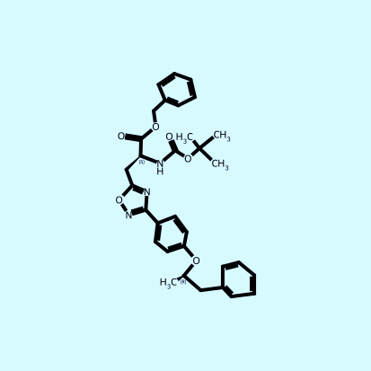 C[C@H](Cc1ccccc1)Oc1ccc(-c2noc(C[C@H](NC(=O)OC(C)(C)C)C(=O)OCc3ccccc3)n2)cc1